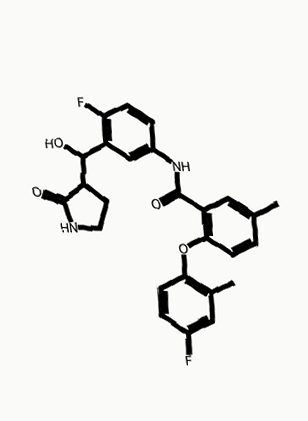 Cc1ccc(Oc2ccc(F)cc2C)c(C(=O)Nc2ccc(F)c(C(O)C3CCNC3=O)c2)c1